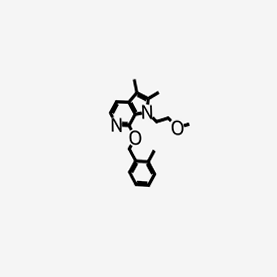 COCCn1c(C)c(C)c2ccnc(OCc3ccccc3C)c21